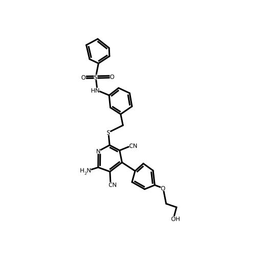 N#Cc1c(N)nc(SCc2cccc(NS(=O)(=O)c3ccccc3)c2)c(C#N)c1-c1ccc(OCCO)cc1